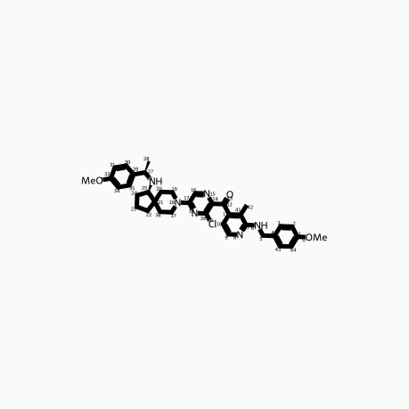 COc1ccc(CNc2nccc(C(=O)c3ncc(N4CCC5(CCC[C@H]5N[C@H](C)c5ccc(OC)cc5)CC4)nc3Cl)c2C)cc1